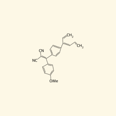 C=C/C=C(\C=C)c1ccc(C(=C(C#N)C#N)c2ccc(OC)cc2)cc1